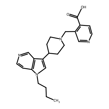 CCCCn1cc(C2CCN(Cc3cnccc3C(=O)O)CC2)c2cnccc21